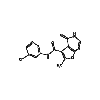 Cc1oc2nc[nH]c(=O)c2c1C(=O)Nc1cccc(Cl)c1